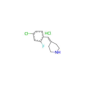 Cl.Fc1cc(Cl)ccc1C=C1CCNCC1